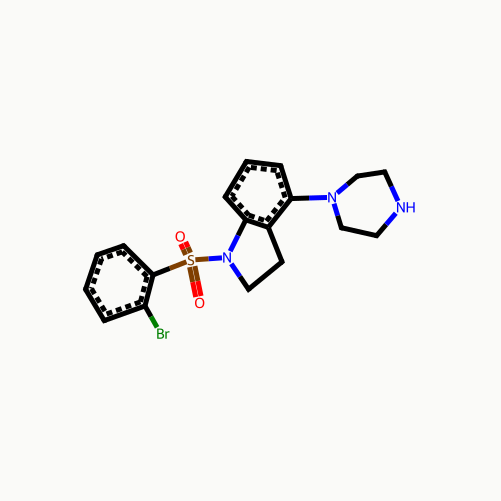 O=S(=O)(c1ccccc1Br)N1CCc2c(N3CCNCC3)cccc21